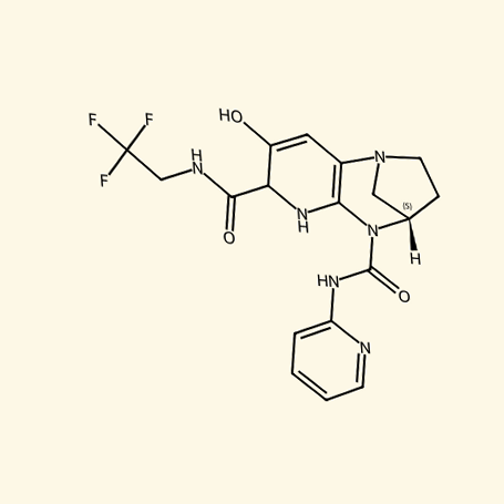 O=C(NCC(F)(F)F)C1NC2=C(C=C1O)N1CC[C@@H](C1)N2C(=O)Nc1ccccn1